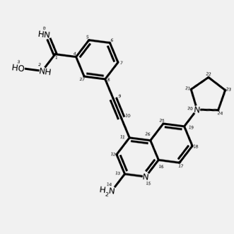 N=C(NO)c1cccc(C#Cc2cc(N)nc3ccc(N4CCCC4)cc23)c1